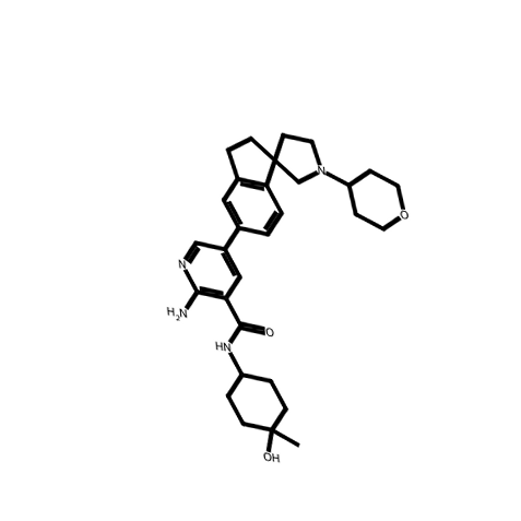 CC1(O)CCC(NC(=O)c2cc(-c3ccc4c(c3)CCC43CCN(C4CCOCC4)C3)cnc2N)CC1